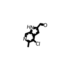 Cc1ncc2[nH]c(C=O)cc2c1Cl